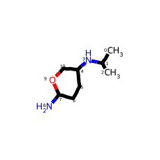 CC(C)NC1CCC(N)OC1